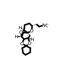 [C-]#[N+]CC[C@H]1CC[C@@H]2O[C@@H]3C[C@]2(C[C@H]2OC4(CCCCC4)OC32)O1